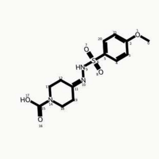 COc1ccc(S(=O)(=O)NN=C2CCN(C(=O)O)CC2)cc1